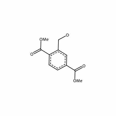 COC(=O)c1ccc(C(=O)OC)c(C[O])c1